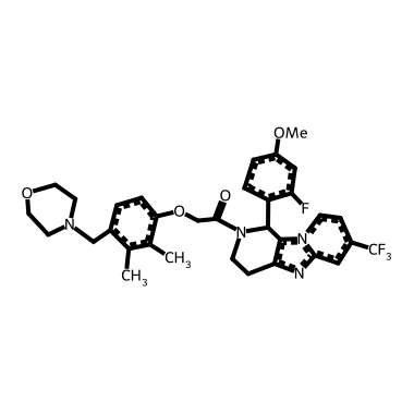 COc1ccc(C2c3c(nc4cc(C(F)(F)F)ccn34)CCN2C(=O)COc2ccc(CN3CCOCC3)c(C)c2C)c(F)c1